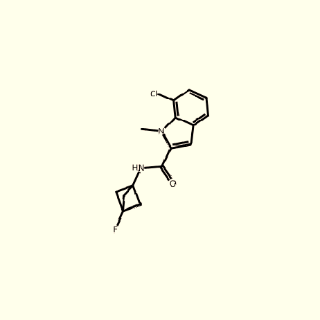 Cn1c(C(=O)NC23CC(F)(C2)C3)cc2cccc(Cl)c21